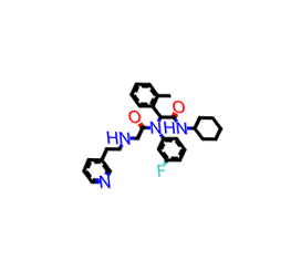 Cc1ccccc1C(C(=O)NC1CCCCC1)N(C(=O)CNCCc1cccnc1)c1cccc(F)c1